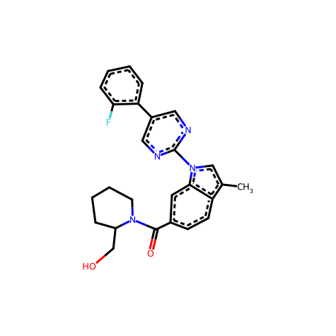 Cc1cn(-c2ncc(-c3ccccc3F)cn2)c2cc(C(=O)N3CCCCC3CO)ccc12